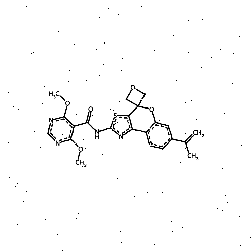 C=C(C)c1ccc2c(c1)OC1(COC1)c1sc(NC(=O)c3c(OC)ncnc3OC)nc1-2